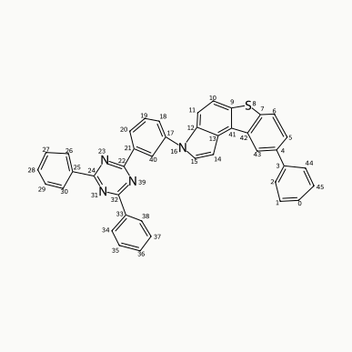 c1ccc(-c2ccc3sc4ccc5c(ccn5-c5cccc(-c6nc(-c7ccccc7)nc(-c7ccccc7)n6)c5)c4c3c2)cc1